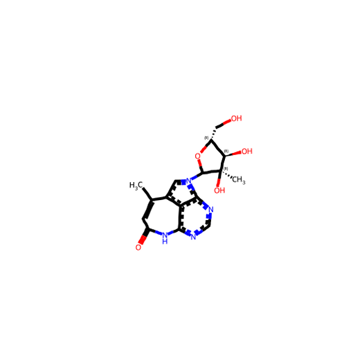 CC1=CC(=O)Nc2ncnc3c2c1cn3C1O[C@H](CO)[C@@H](O)[C@@]1(C)O